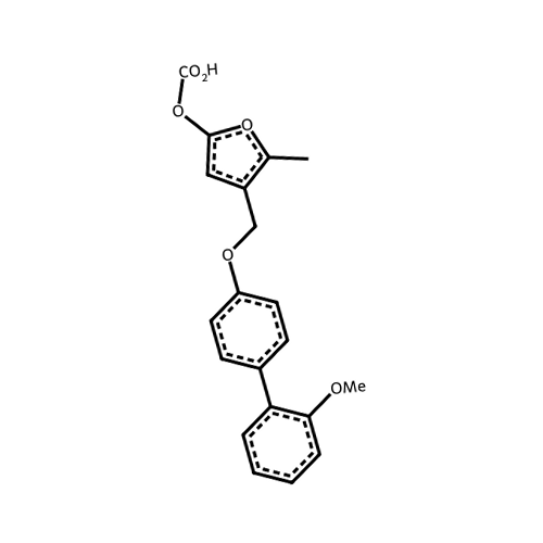 COc1ccccc1-c1ccc(OCc2cc(OC(=O)O)oc2C)cc1